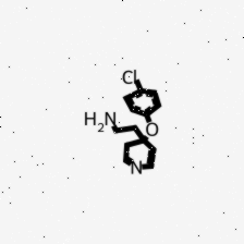 NCCC1(Oc2ccc(Cl)cc2)C=CN=CC1